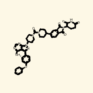 Nc1ncnc2c1c(-c1ccc(Oc3ccccc3)cc1)nn2C1CCN(C(=O)N2CCC(c3ccc4c(c3)C(=O)N(C3CCC(=O)NC3=O)C4=O)CC2)CC1